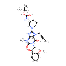 CC#CCn1c(N2CCC[C@@H](NC(=O)OC(C)(C)C)C2)nc2c1c(=O)n(CC(=O)c1ccccc1OC)c(=O)n2C